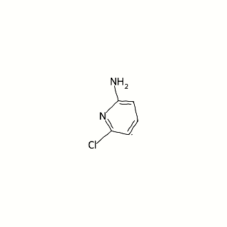 Nc1cc[c]c(Cl)n1